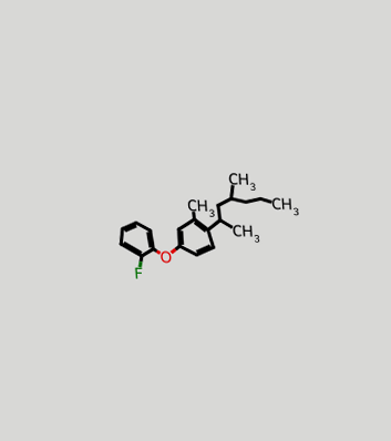 CCCC(C)CC(C)c1ccc(Oc2ccccc2F)cc1C